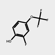 Oc1ccc(OC(F)(F)F)cc1F